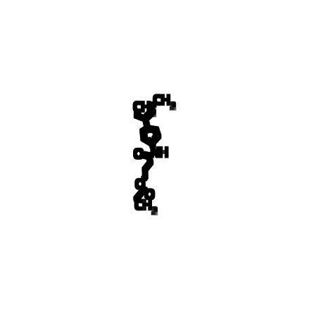 C=C/C=C(\C=C)c1ccc(NC(=O)CCCOC(=O)C=C)cc1